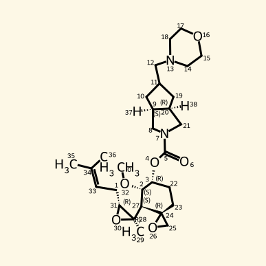 CO[C@@H]1[C@H](OC(=O)N2C[C@H]3CC(CN4CCOCC4)C[C@H]3C2)CC[C@]2(CO2)[C@H]1[C@@]1(C)O[C@@H]1CC=C(C)C